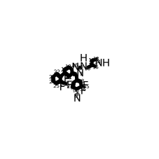 N#C[C@@H]1C=CC(c2nc(NCC3CCNC3)nc3ccc(-c4ccccc4C(F)(F)F)cc23)=CC1(F)F